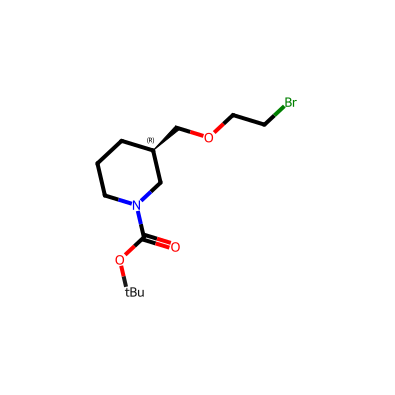 CC(C)(C)OC(=O)N1CCC[C@@H](COCCBr)C1